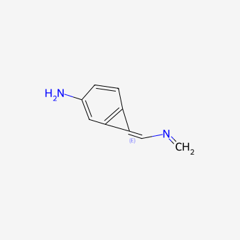 C=N/C=C1\c2ccc(N)cc21